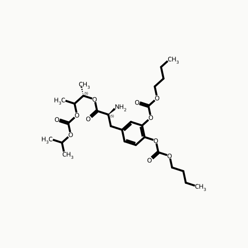 CCCCOC(=O)Oc1ccc(C[C@H](N)C(=O)O[C@@H](C)C(C)OC(=O)OC(C)C)cc1OC(=O)OCCCC